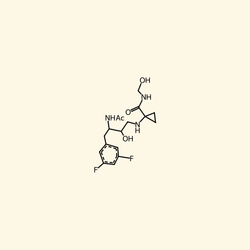 CC(=O)NC(Cc1cc(F)cc(F)c1)C(O)CNC1(C(=O)NCO)CC1